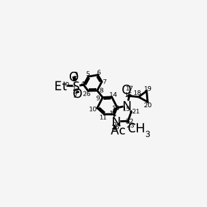 CCS(=O)(=O)c1cccc(-c2ccc3c(c2)N(C(=O)C2CC2)CC(C)N3C(C)=O)c1